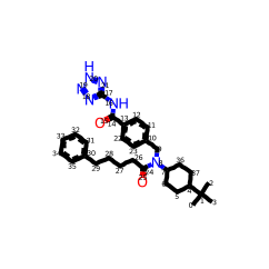 CC(C)(C)C1CCC(N(Cc2ccc(C(=O)Nc3nn[nH]n3)cc2)C(=O)CCCCc2ccccc2)CC1